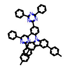 Cc1ccc(-c2ccc3c(c2)c2cc(-c4ccc(C)cc4)ccc2n3-c2ccc(-c3nc(-c4ccccc4)nc(-c4ccccc4)n3)cc2-c2cc(-c3ccccc3)nc(-c3ccccc3)n2)cc1